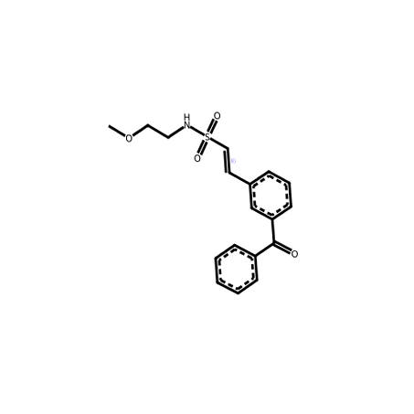 COCCNS(=O)(=O)/C=C/c1cccc(C(=O)c2ccccc2)c1